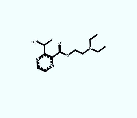 CCN(CC)CCOC(=O)c1nccnc1C(C)N